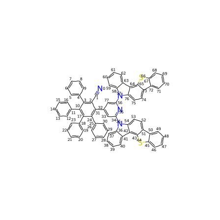 N#Cc1c(-c2ccccc2)c(-c2ccccc2)c(-c2ccccc2)c(-c2ccccc2)c1-c1cc(-n2c3ccccc3c3c4sc5ccccc5c4ccc32)nc(-n2c3ccccc3c3c4sc5ccccc5c4ccc32)c1